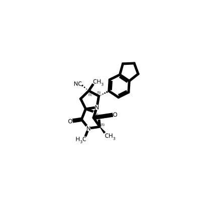 CN1C(=O)C23C[C@](C)(C#N)[C@H](c4ccc5c(c4)CCC5)N2C(=O)[C@]1(C)SS3